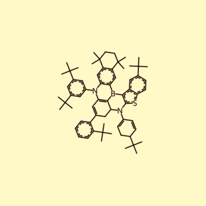 CC(C)(C)c1cc(N2C3=C4B(c5cc6c(cc52)C(C)(C)CCC6(C)C)c2c(sc5ccc(C(C)(C)C)cc25)N(C2=CCC(C(C)(C)C)C=C2)C4CC(c2ccccc2C(C)(C)C)=C3)cc(C(C)(C)C)c1